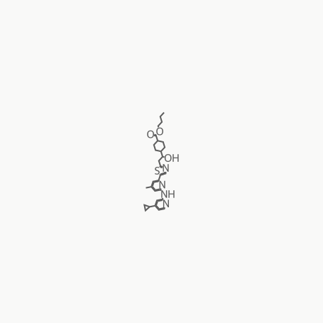 CCCCOC(=O)C1CCC(C(O)Cc2ncc(-c3cc(C)cc(Nc4cc(C5CC5)ccn4)n3)s2)CC1